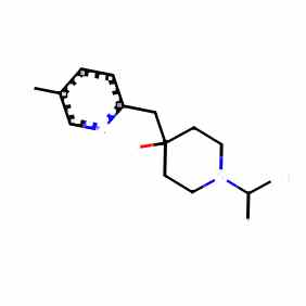 Cc1ccc(CC2(O)CCN(C(C)C)CC2)nc1